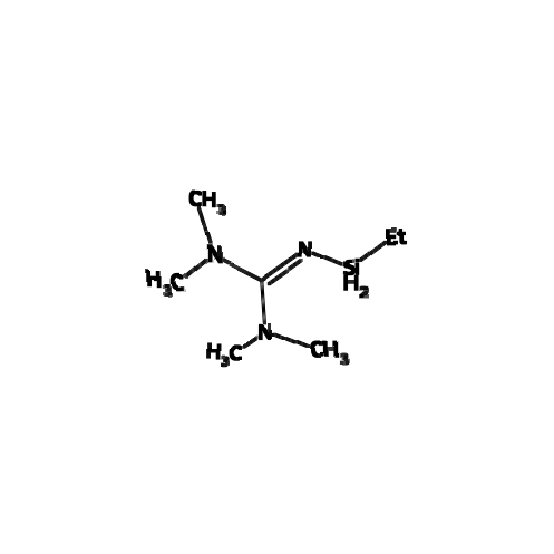 CC[SiH2]N=C(N(C)C)N(C)C